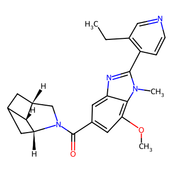 CCc1cnccc1-c1nc2cc(C(=O)N3C[C@H]4CC5C[C@@H]3[C@H]54)cc(OC)c2n1C